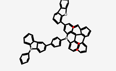 c1ccc(-c2cccc3cccc(-c4ccccc4N(c4ccc(-c5ccc6c(c5)c5ccccc5n6-c5ccccc5)cc4)c4cccc(-c5cccc6c5oc5ccccc56)c4)c23)cc1